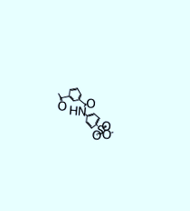 COS(=O)(=O)c1ccc(NC(=O)c2cccc(C(C)=O)c2)cc1